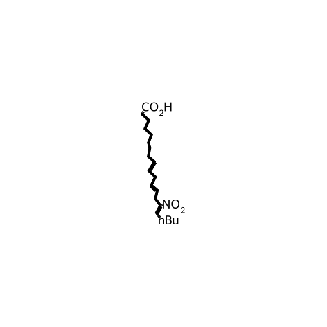 CCCC/C=C(/C/C=C/C/C=C/CCCCCCCC(=O)O)[N+](=O)[O-]